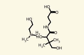 CC(C)(CO)C(O)C(=O)NCCC(=O)O.CN(C)CCO